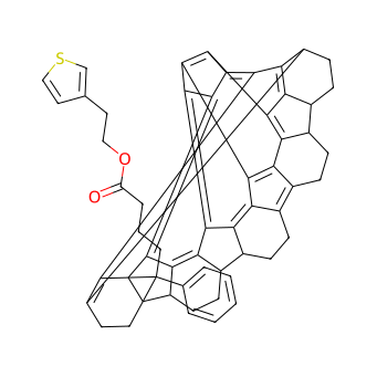 O=C(CCCC1(c2ccccc2)C23C4=C5CCC12C1CCC2c6c1c3c1c3c4c4c7c8c9c%10c(c%11c%12c(c6c1c(c%10%12)c83)C2CC%11)CCC9C7CCC54)OCCc1ccsc1